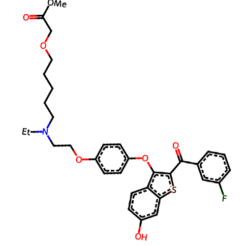 CCN(CCCCCOCC(=O)OC)CCOc1ccc(Oc2c(C(=O)c3cccc(F)c3)sc3cc(O)ccc23)cc1